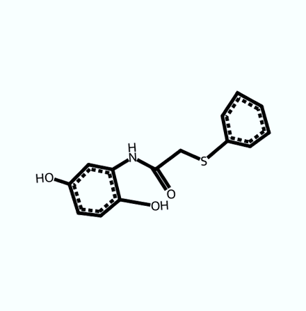 O=C(CSc1ccccc1)Nc1cc(O)ccc1O